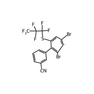 N#Cc1cccc(-c2c(Br)[c]c(Br)cc2SC(F)(F)C(F)(F)C(F)(F)F)c1